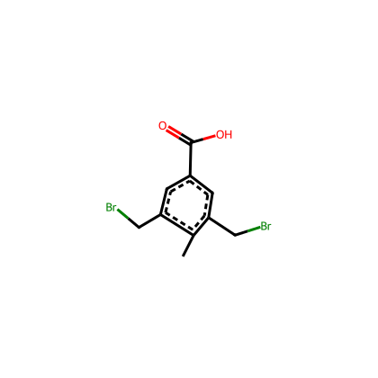 Cc1c(CBr)cc(C(=O)O)cc1CBr